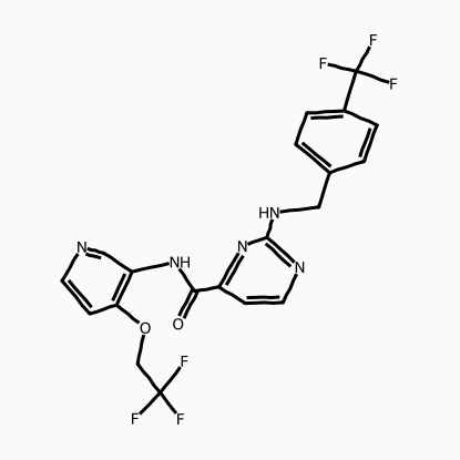 O=C(Nc1cnccc1OCC(F)(F)F)c1ccnc(NCc2ccc(C(F)(F)F)cc2)n1